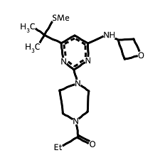 CCC(=O)N1CCN(c2nc(NC3COC3)cc(C(C)(C)SC)n2)CC1